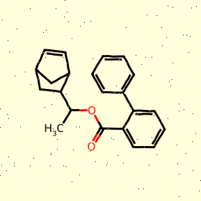 CC(OC(=O)c1ccccc1-c1ccccc1)C1CC2C=CC1C2